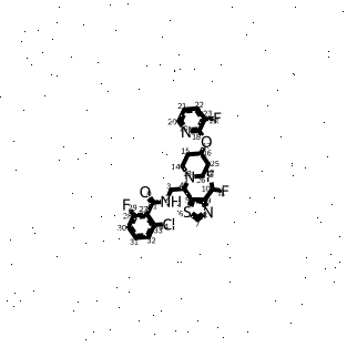 O=C(NCC(c1scnc1C(F)F)N1CCC(Oc2ncccc2F)CC1)c1c(F)cccc1Cl